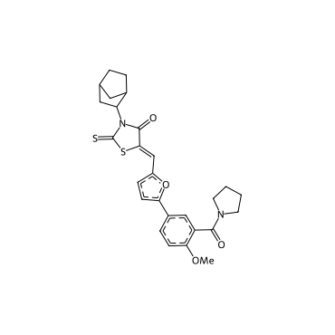 COc1ccc(-c2ccc(/C=C3\SC(=S)N(C4CC5CCC4C5)C3=O)o2)cc1C(=O)N1CCCC1